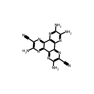 N#Cc1nc2c3nc(N)c(N)nc3c3nc(C#N)c(N)nc3c2nc1N